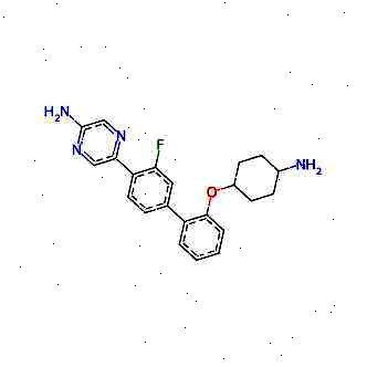 Nc1cnc(-c2ccc(-c3ccccc3OC3CCC(N)CC3)cc2F)cn1